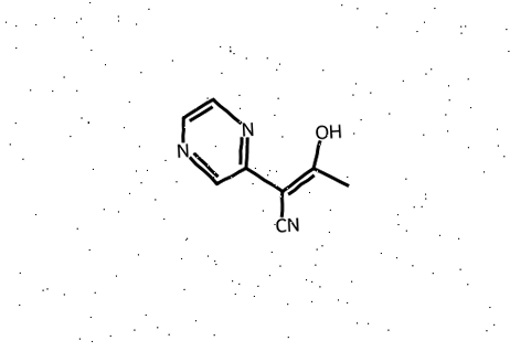 C/C(O)=C(\C#N)c1cnccn1